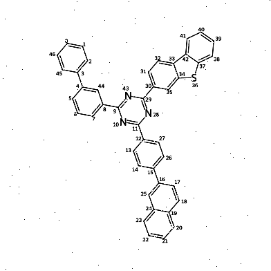 c1ccc(-c2cccc(-c3nc(-c4ccc(-c5ccc6ccccc6c5)cc4)nc(-c4ccc5c(c4)sc4ccccc45)n3)c2)cc1